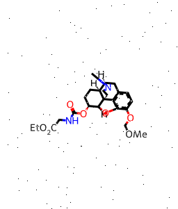 CCOC(=O)CNC(=O)O[C@H]1CC[C@H]2[C@H]3Cc4ccc(OCOC)c5c4[C@@]2(CCN3C)[C@H]1O5